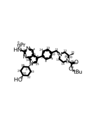 CCCNc1ncc2c(-c3ccc(CN4CCN(C(=O)OC(C)(C)C)[C@H](C)C4)cc3)cn([C@H]3CC[C@H](O)CC3)c2n1